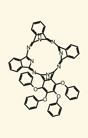 c1ccc(Oc2c(Oc3ccccc3)c(Oc3ccccc3)c3c4nc5nc(nc6[nH]c(nc7nc(nc([nH]4)c3c2Oc2ccccc2)-c2ccccc2-7)c2ccccc62)-c2ccccc2-5)cc1